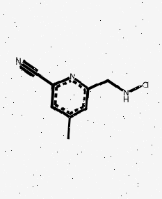 Cc1cc(C#N)nc(CNCl)c1